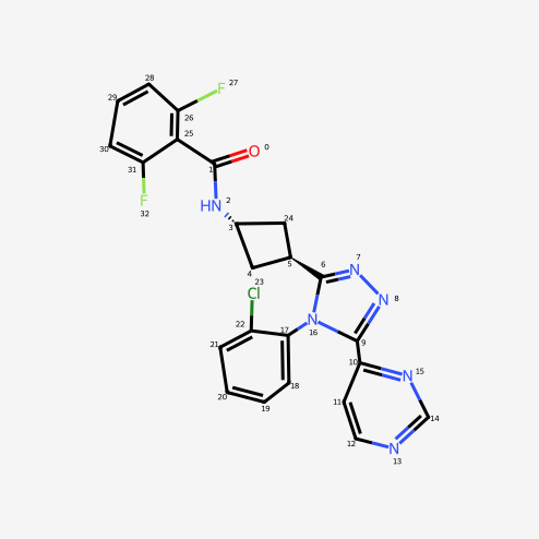 O=C(N[C@H]1C[C@H](c2nnc(-c3ccncn3)n2-c2ccccc2Cl)C1)c1c(F)cccc1F